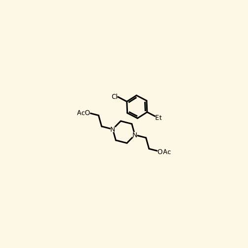 CC(=O)OCCN1CCN(CCOC(C)=O)CC1.CCc1ccc(Cl)cc1